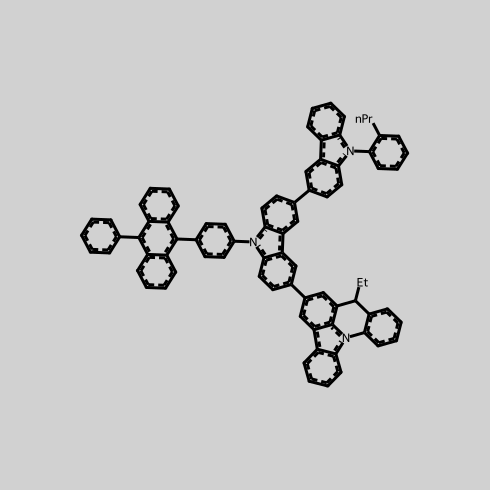 CCCc1ccccc1-n1c2ccccc2c2cc(-c3ccc4c(c3)c3cc(-c5cc6c7c(c5)c5ccccc5n7-c5ccccc5C6CC)ccc3n4-c3ccc(-c4c5ccccc5c(-c5ccccc5)c5ccccc45)cc3)ccc21